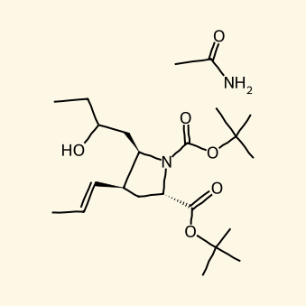 CC(N)=O.CC=C[C@@H]1C[C@@H](C(=O)OC(C)(C)C)N(C(=O)OC(C)(C)C)[C@@H]1CC(O)CC